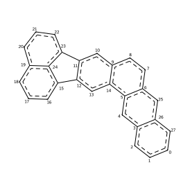 c1ccc2cc3c(ccc4cc5c(cc43)-c3cccc4cccc-5c34)cc2c1